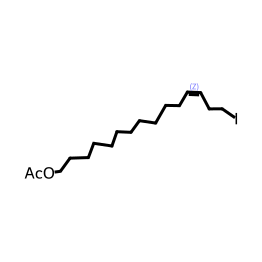 CC(=O)OCCCCCCCCCCC/C=C\CCI